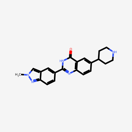 Cn1cc2cc(-c3nc4ccc(C5CCNCC5)cc4c(=O)[nH]3)ccc2n1